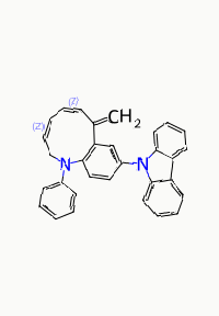 C=C1/C=C\C=C/CN(c2ccccc2)c2ccc(-n3c4ccccc4c4ccccc43)cc21